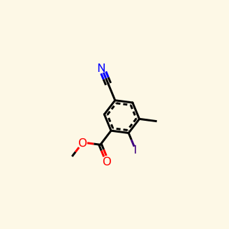 COC(=O)c1cc(C#N)cc(C)c1I